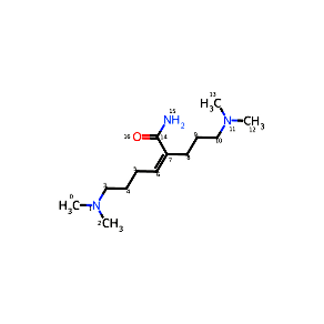 CN(C)CCCC=C(CCCN(C)C)C(N)=O